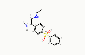 CCN[C@@H](C)[C@H](c1ccc(S(=O)(=O)c2ccccc2)cc1)N(C)C